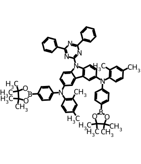 Cc1ccc(N(c2ccc(B3OC(C)(C)C(C)(C)O3)cc2)c2ccc3c(c2)c2cc(N(c4ccc(B5OC(C)(C)C(C)(C)O5)cc4)c4ccc(C)cc4C)ccc2n3-c2nc(-c3ccccc3)nc(-c3ccccc3)n2)c(C)c1